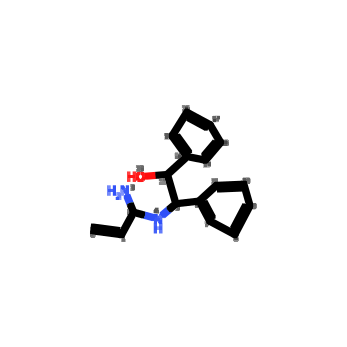 C=CC(N)NC(c1ccccc1)C(O)c1ccccc1